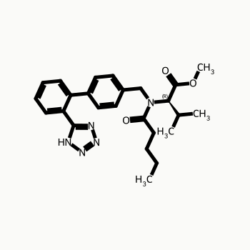 CCCCC(=O)N(Cc1ccc(-c2ccccc2-c2nnn[nH]2)cc1)[C@@H](C(=O)OC)C(C)C